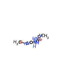 CCN1CCC(Nc2c(Br)cnc3[nH]c(-c4ccc(N5CCN(CCCOC)CC5)cc4)nc23)CC1